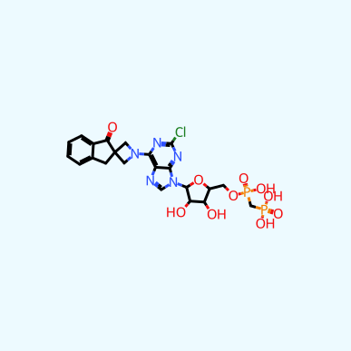 O=C1c2ccccc2CC12CN(c1nc(Cl)nc3c1ncn3C1OC(COP(=O)(O)CP(=O)(O)O)C(O)C1O)C2